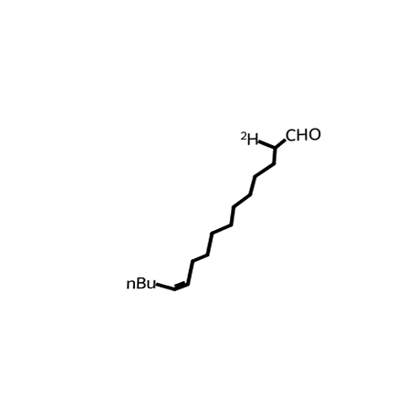 [2H]C(C=O)CCCCCCCC/C=C\CCCC